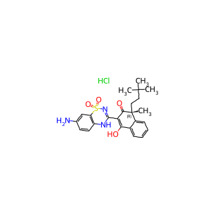 CC(C)(C)CC[C@@]1(C)C(=O)C(C2=NS(=O)(=O)c3cc(N)ccc3N2)=C(O)c2ccccc21.Cl